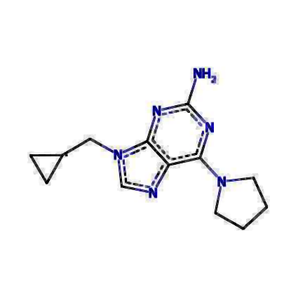 Nc1nc(N2CCCC2)c2ncn(C[C]3CC3)c2n1